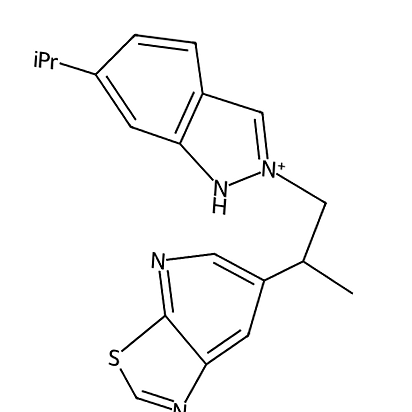 CC(C)c1ccc2c[n+](CC(C)c3cnc4scnc4c3)[nH]c2c1